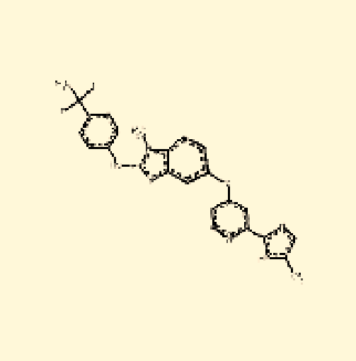 Cn1c(Nc2ccc(C(C)(F)F)cc2)nc2cc(Oc3ccnc(-c4ncc(C(F)(F)F)[nH]4)c3)ccc21